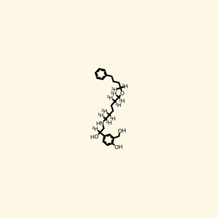 [2H]C([2H])(CCCc1ccccc1)OC([2H])([2H])C([2H])([2H])CCC([2H])([2H])C([2H])([2H])NCC([2H])(O)c1ccc(O)c(CO)c1